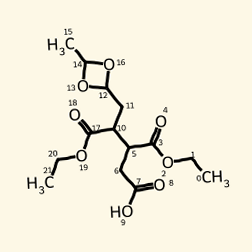 CCOC(=O)C(CC(=O)O)C(CC1OC(C)O1)C(=O)OCC